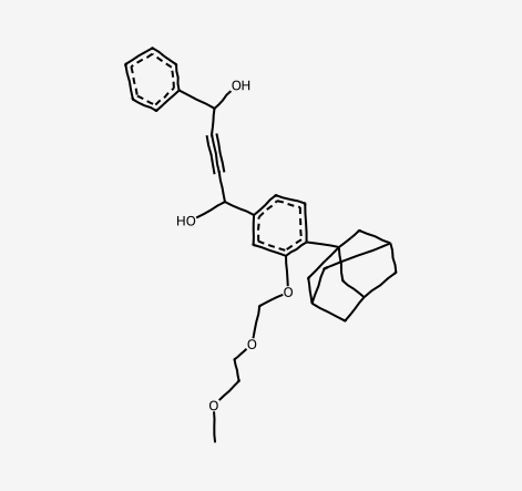 COCCOCOc1cc(C(O)C#CC(O)c2ccccc2)ccc1C12CC3CC(CC(C3)C1)C2